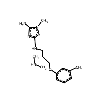 CNC.Cc1cccc(OCCCNc2nc(N)n(C)n2)c1